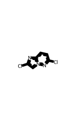 Clc1cn2nc(Cl)ccc2n1